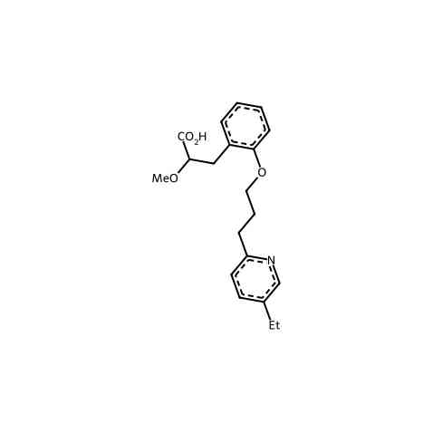 CCc1ccc(CCCOc2ccccc2CC(OC)C(=O)O)nc1